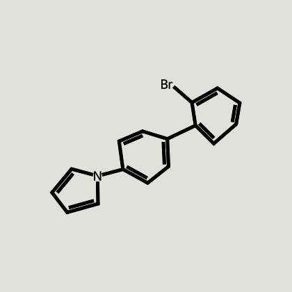 Brc1ccccc1-c1ccc(-n2cccc2)cc1